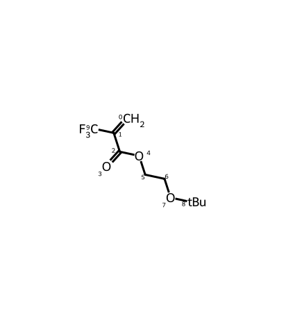 C=C(C(=O)OCCOC(C)(C)C)C(F)(F)F